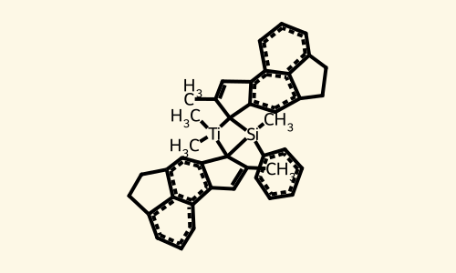 CC1=Cc2c(cc3c4c(cccc24)CC3)[C]12[Si](C)(c1ccccc1)[C]1(C(C)=Cc3c1cc1c4c(cccc34)CC1)[Ti]2([CH3])[CH3]